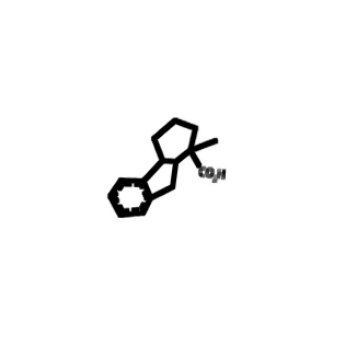 CC1(C(=O)O)CCCC2c3ccccc3CC21